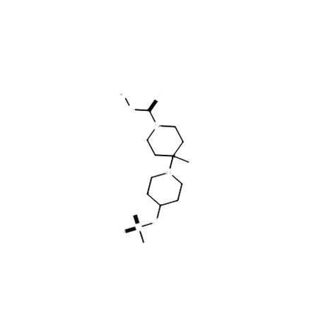 CC(C)(C)OC(=O)N1CCC(C)(N2CCC(OS(C)(=O)=O)CC2)CC1